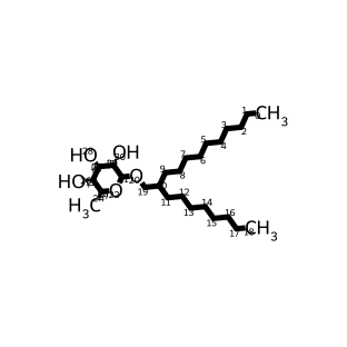 CCCCCCCCCCC(CCCCCCCC)COC1O[C@@H](C)[C@@H](O)[C@@H](O)[C@@H]1O